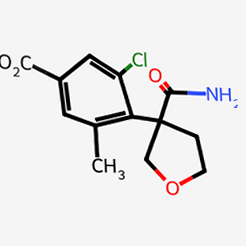 Cc1cc(C(=O)O)cc(Cl)c1C1(C(N)=O)CCOC1